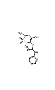 CN1CC(O)=C(OC(=O)Nc2ccccn2)N(C)S1(=O)=O